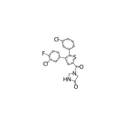 O=C1CN(C(=O)c2cc(-c3ccc(F)c(Cl)c3)c(-c3cccc(Cl)c3)s2)CN1